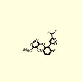 COc1ncnc(Oc2cccc(F)c2-c2cc(C(F)F)no2)c1C#N